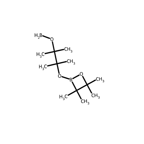 BOC(C)(C)C(C)(C)OB1OC(C)(C)C1(C)C